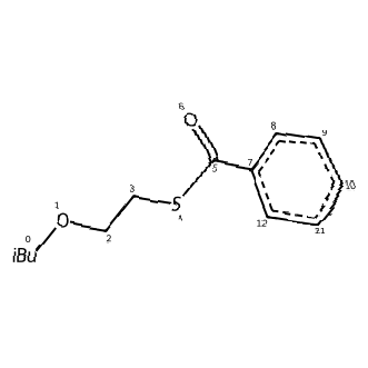 CCC(C)OCCSC(=O)c1ccccc1